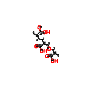 CC(=CCC(=COC=C(C)C(=O)O)C(=O)O)C(=O)O